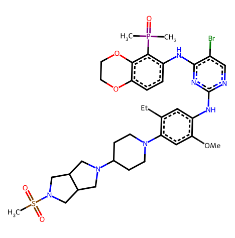 CCc1cc(Nc2ncc(Br)c(Nc3ccc4c(c3P(C)(C)=O)OCCO4)n2)c(OC)cc1N1CCC(N2CC3CN(S(C)(=O)=O)CC3C2)CC1